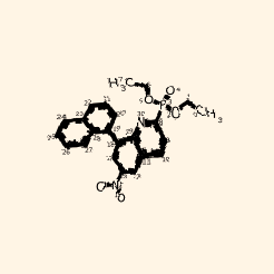 CCOP(=O)(OCC)c1ccc2cc([N+](=O)[O-])cc(-c3cccc4ccccc34)c2n1